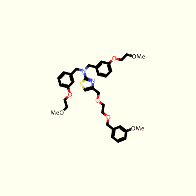 COCCOc1cccc(CN(Cc2cccc(OCCOC)c2)c2nc(COCCOCc3cccc(OC)c3)cs2)c1